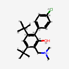 CN(C)Cc1c(C(C)(C)C)cc(C(C)(C)C)c(-c2ccc(Cl)cc2)c1O